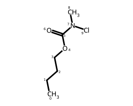 CCCCOC(=O)N(C)Cl